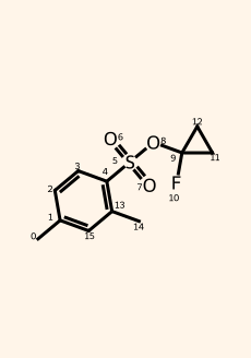 Cc1ccc(S(=O)(=O)OC2(F)CC2)c(C)c1